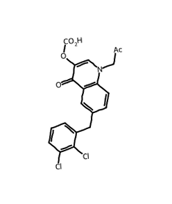 CC(=O)Cn1cc(OC(=O)O)c(=O)c2cc(Cc3cccc(Cl)c3Cl)ccc21